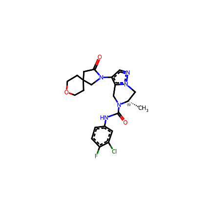 C[C@H]1Cn2ncc(N3CC4(CCOCC4)CC3=O)c2CN1C(=O)Nc1ccc(F)c(Cl)c1